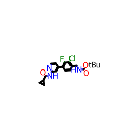 CC(C)(C)OC(=O)NCc1ccc(-c2ccnc(NC(=O)C3CC3)c2)c(F)c1Cl